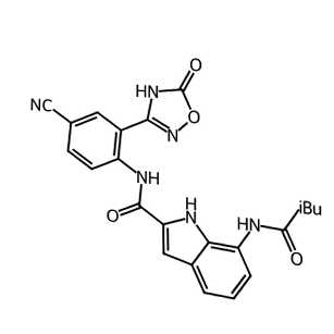 CCC(C)C(=O)Nc1cccc2cc(C(=O)Nc3ccc(C#N)cc3-c3noc(=O)[nH]3)[nH]c12